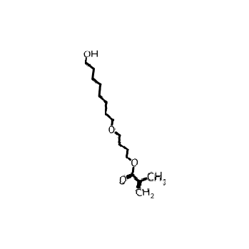 C=C(C)C(=O)OCCCCOCCCCCCCCO